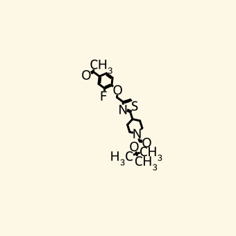 CC(=O)c1ccc(OCc2csc(C3CCN(C(=O)OC(C)(C)C)CC3)n2)c(F)c1